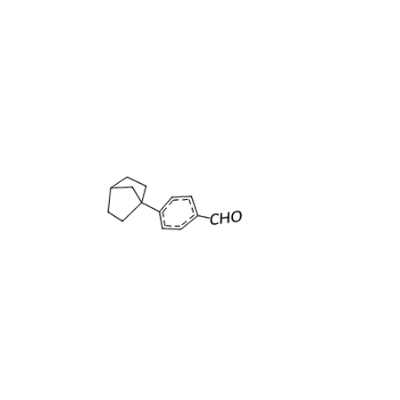 O=Cc1ccc(C23CCC(CC2)C3)cc1